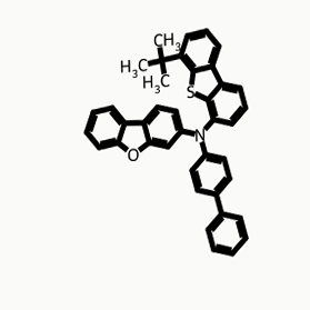 CC(C)(C)c1cccc2c1sc1c(N(c3ccc(-c4ccccc4)cc3)c3ccc4c(c3)oc3ccccc34)cccc12